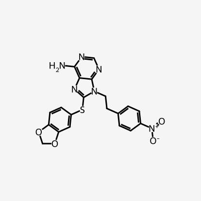 Nc1ncnc2c1nc(Sc1ccc3c(c1)OCO3)n2CCc1ccc([N+](=O)[O-])cc1